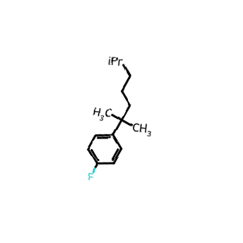 CC(C)CCCC(C)(C)c1ccc(F)cc1